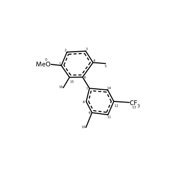 COc1ccc(C)c(-c2cc(C)cc(C(F)(F)F)c2)c1C